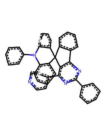 c1ccc(-c2nc(-c3ccncc3)c3c(n2)-c2ccccc2C32c3ccccc3N(c3ccccc3)c3ccccc32)cc1